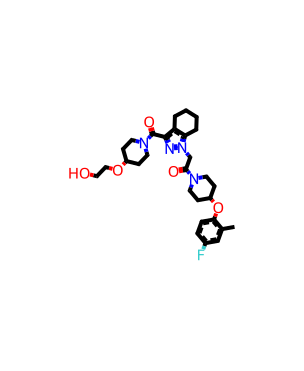 Cc1cc(F)ccc1OC1CCN(C(=O)Cn2nc(C(=O)N3CCC(OCCO)CC3)c3c2CCCC3)CC1